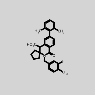 Cc1cccc(C)c1-c1ccc2c(c1)C(C(=O)O)C1(CCCC1)N(Cc1ccc(C(F)(F)F)c(F)c1)C2=O